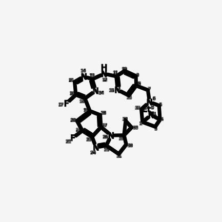 CCN1C2CC1CN(Cc1ccc(Nc3ncc(F)c(-c4cc(F)c5nc6n(c5c4)C4(CC6)CC4)n3)nc1)C2